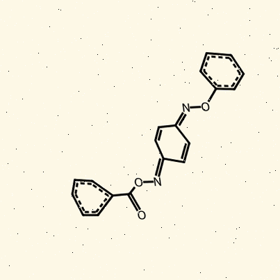 O=C(ON=C1C=CC(=NOc2ccccc2)C=C1)c1ccccc1